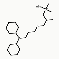 CCCC[N+](C)(C)CC(C)CSCCCB(C1CCCCC1)C1CCCCC1